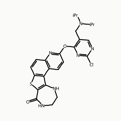 CC(C)N(Cc1cnc(Cl)nc1Oc1ccc2c(ccc3sc4c(c32)NCCNC4=O)n1)C(C)C